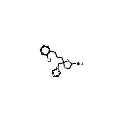 CCCCC1CSC(CCCc2ccccc2Cl)(Cn2ccnc2)S1